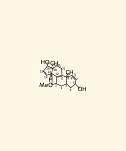 COC1CC2CC(O)C=C[C@]2(C)C2=C1[C@@H]1C=CC(O)[C@@]1(C)CC2